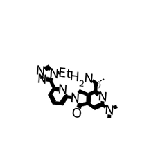 CCn1cnnc1-c1cccc(N2Cc3c(cc(N(C)C)nc3[C@@H](C)N)C2=O)n1